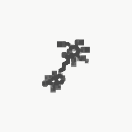 N[C@@H]1[C@@H](O)[C@H](O)[C@@H](CO)OC1(O)C(=O)CCCC[C@@H]1SC[C@@H]2NC(=O)N[C@@H]21